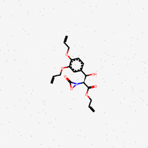 C=CCOC(=O)[C@H](C(O)c1ccc(OCC=C)c(OCC=C)c1)N1OC1=O